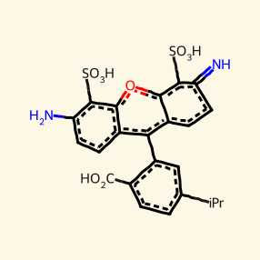 CC(C)c1ccc(C(=O)O)c(-c2c3ccc(=N)c(S(=O)(=O)O)c-3oc3c(S(=O)(=O)O)c(N)ccc23)c1